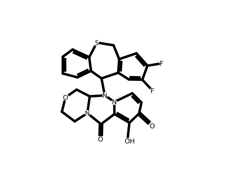 O=C1c2c(O)c(=O)ccn2N(C2c3cc(F)c(F)cc3CSc3ccccc32)C2COCCN12